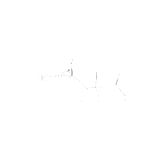 CC(C)C(C)(C)C(C)C1=C=C1O